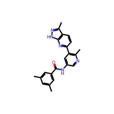 Cc1cc(C)cc(C(=O)Nc2cnc(C)c(-c3ccc4c(C)n[nH]c4n3)c2)c1